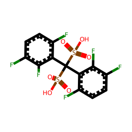 O=S(=O)(O)C(c1c(F)ccc(F)c1F)(c1c(F)ccc(F)c1F)S(=O)(=O)O